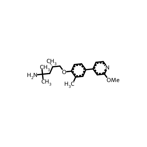 COc1cc(-c2ccc(OC[C@@H](C)CC(C)(C)N)c(C)c2)ccn1